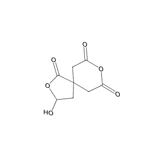 O=C1CC2(CC(=O)O1)CC(O)OC2=O